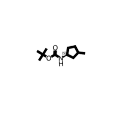 CC1CC[C@H](NC(=O)OC(C)(C)C)C1